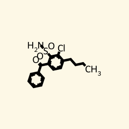 CCCCc1ccc(C(=O)c2ccccc2)c(S(N)(=O)=O)c1Cl